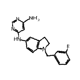 Nc1cc(Nc2ccc3c(c2)CCN3Cc2cccc(F)c2)ncn1